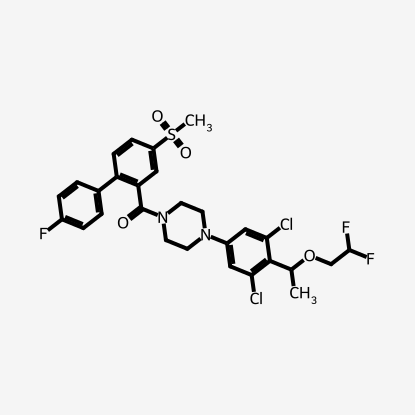 CC(OCC(F)F)c1c(Cl)cc(N2CCN(C(=O)c3cc(S(C)(=O)=O)ccc3-c3ccc(F)cc3)CC2)cc1Cl